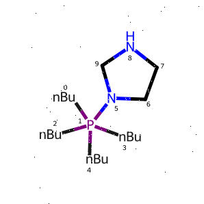 CCCCP(CCCC)(CCCC)(CCCC)N1CCNC1